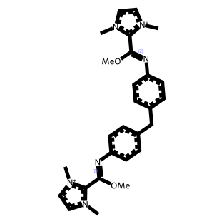 CO/C(=N\c1ccc(Cc2ccc(/N=C(\OC)c3n(C)cc[n+]3C)cc2)cc1)c1n(C)cc[n+]1C